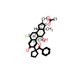 CCC(=O)O[C@H]1[C@H](C)C[C@H]2[C@@H]3C[C@H](F)C4=CC(=O)C(C5(C(=O)c6ccccc6)CCCC5)=C[C@]4(C)[C@@]3(F)[C@@H](O)C[C@@]21C